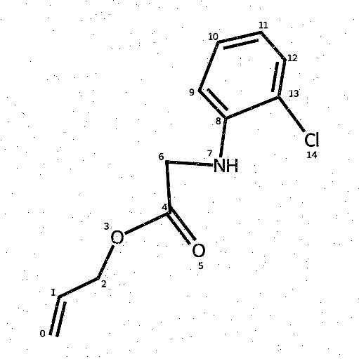 C=CCOC(=O)CNc1ccccc1Cl